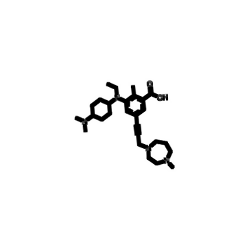 CCN(c1cc(C#CCN2CCCN(C)CC2)cc(C(=O)O)c1C)C1CCC(N(C)C)CC1